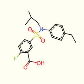 CCc1ccc(N(CC(C)C)S(=O)(=O)c2ccc(F)c(C(=O)O)c2)cc1